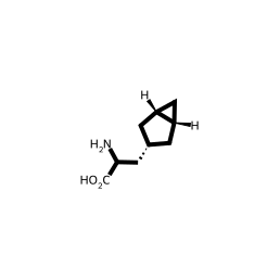 NC(C[C@@H]1C[C@@H]2C[C@@H]2C1)C(=O)O